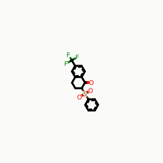 O=C1c2ccc(C(F)(F)F)cc2CCC1S(=O)(=O)c1ccccc1